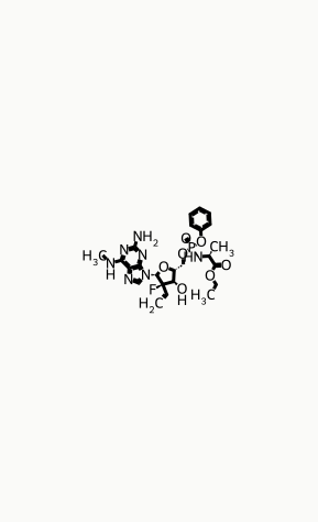 C=C[C@@]1(F)[C@H](O)[C@@H](CO[P@](=O)(N[C@H](C)C(=O)OCC)Oc2ccccc2)O[C@H]1n1cnc2c(NC)nc(N)nc21